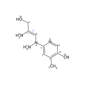 Cc1cc(N(N)/C=C(\N)CO)ncc1C#N